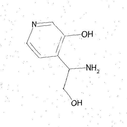 NC(CO)c1ccncc1O